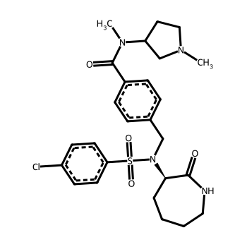 CN1CCC(N(C)C(=O)c2ccc(CN([C@@H]3CCCCNC3=O)S(=O)(=O)c3ccc(Cl)cc3)cc2)C1